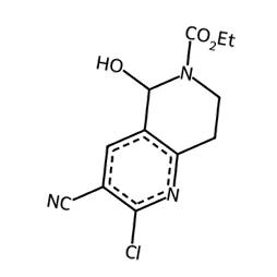 CCOC(=O)N1CCc2nc(Cl)c(C#N)cc2C1O